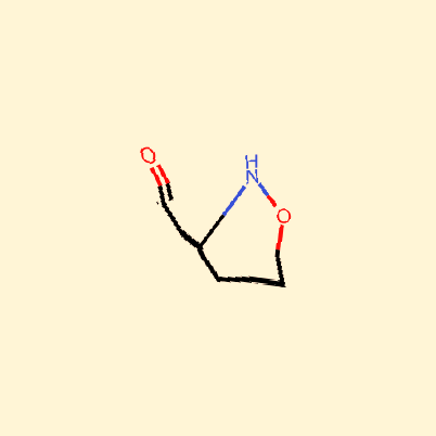 O=[C]C1CCON1